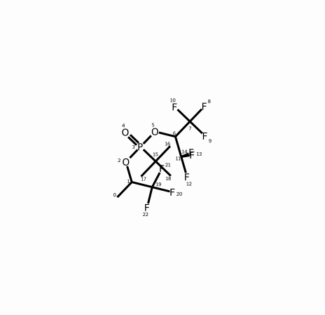 CC(OP(=O)(OC(C(F)(F)F)C(F)(F)F)C(C)(C)C)C(F)(F)F